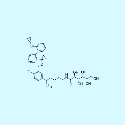 CC(CCCCNC(=O)[C@@H](O)[C@@H](O)[C@H](O)[C@@H](O)CO)c1ccc(Cl)c(COC2(c3cnccc3-c3ccccc3OC3CC3)CC2)c1